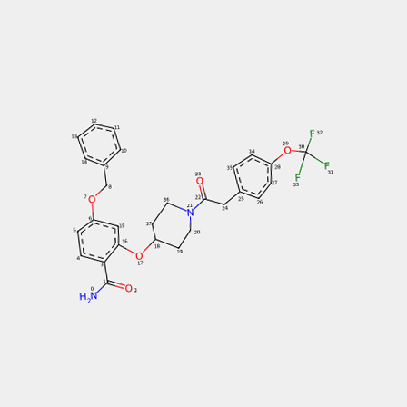 NC(=O)c1ccc(OCc2ccccc2)cc1OC1CCN(C(=O)Cc2ccc(OC(F)(F)F)cc2)CC1